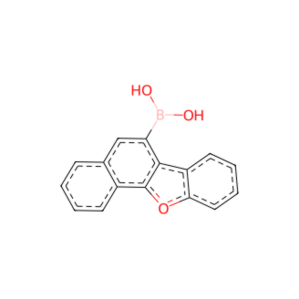 OB(O)c1cc2ccccc2c2oc3ccccc3c12